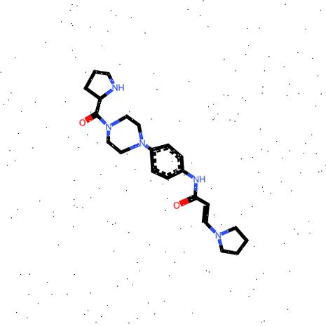 O=C(C=CN1CCCC1)Nc1ccc(N2CCN(C(=O)C3CCCN3)CC2)cc1